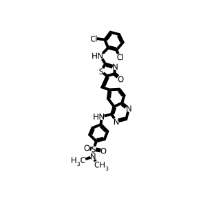 CN(C)S(=O)(=O)c1ccc(Nc2ncnc3ccc(C=C4SC(Nc5c(Cl)cccc5Cl)=NC4=O)cc23)cc1